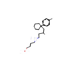 CCOCCCCNCCC(C)CC1(c2ccc(C)cc2)CCCCC1